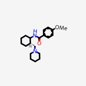 COc1ccc(C(=O)NC2CCCC[C@H]2CN2CCCCC2)cc1